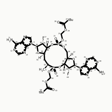 C[C@H]1C[C@H]2O[C@@H](n3cnc4c(N)ncnc43)[C@H](F)[C@@H]2OP(=O)(OCOC(=O)C(C)(C)C)OC[C@H]2O[C@@H](n3cnc4c(N)ncnc43)[C@H](F)[C@@H]2OP1(=O)OCOC(=O)C(C)(C)C